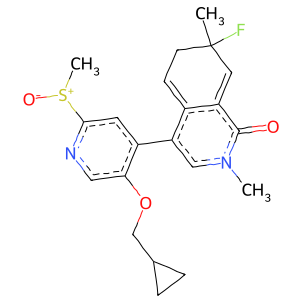 Cn1cc(-c2cc([S+](C)[O-])ncc2OCC2CC2)c2c(c1=O)=CC(C)(F)CC=2